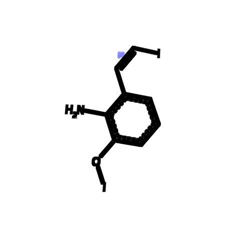 Nc1c(/C=C\I)cccc1OI